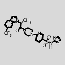 C[C@@H](C(=O)N1CCN(c2ccc(S(=O)(=O)Nc3nccs3)cn2)CC1)n1ccc2ccc(C(F)(F)F)cc21